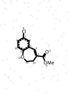 COC(=O)C1=Cc2cc(Cl)ccc2OCC1